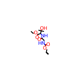 C=CCOC(=O)NCC(=O)NC(C(=O)OCC)C(C)(C)O